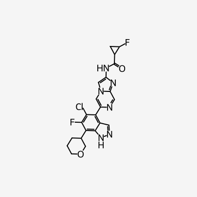 O=C(Nc1cn2cc(-c3c(Cl)c(F)c(C4CCCOC4)c4[nH]ncc34)ncc2n1)C1CC1F